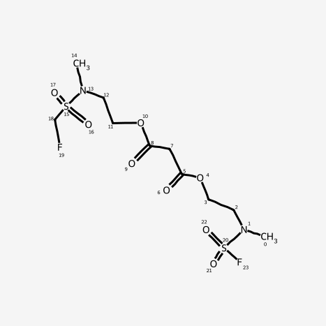 CN(CCOC(=O)CC(=O)OCCN(C)S(=O)(=O)CF)S(=O)(=O)F